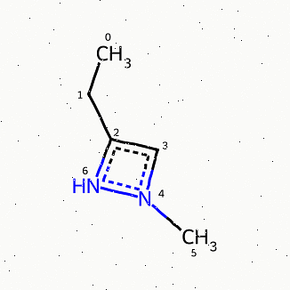 CCc1cn(C)[nH]1